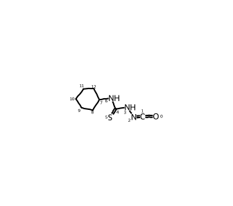 O=C=NNC(=S)NC1CCCCC1